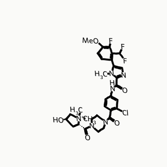 COc1ccc(-c2cnc(C(=O)Nc3ccc(C(=O)N4CCN(C(=O)[C@@H]5C[C@@H](O)C[N+]5(C)C)CC4)c(Cl)c3)n2C)c(C(F)F)c1F